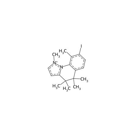 Cc1c(I)ccc2c1-n1c(cc[n+]1C)C(C)(C)C2(C)C